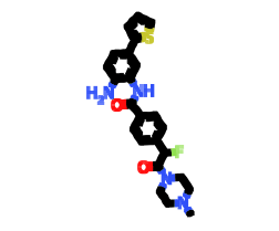 CN1CCN(C(=O)C(F)c2ccc(C(=O)Nc3cc(-c4cccs4)ccc3N)cc2)CC1